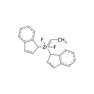 C[CH]=[Zr]([F])([F])([CH]1C=Cc2ccccc21)[CH]1C=Cc2ccccc21